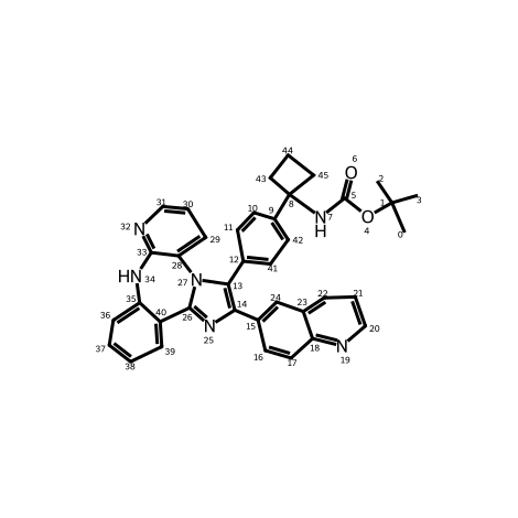 CC(C)(C)OC(=O)NC1(c2ccc(-c3c(-c4ccc5ncccc5c4)nc4n3-c3cccnc3Nc3ccccc3-4)cc2)CCC1